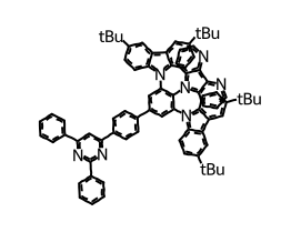 CC(C)(C)c1ccc2c(c1)c1cc(C(C)(C)C)ccc1n2-c1cc(-c2ccc(-c3cc(-c4ccccc4)nc(-c4ccccc4)n3)cc2)cc(-n2c3ccc(C(C)(C)C)cc3c3cc(C(C)(C)C)ccc32)c1-n1c2cccnc2c2ncccc21